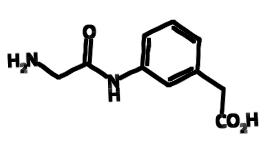 NCC(=O)Nc1cccc(CC(=O)O)c1